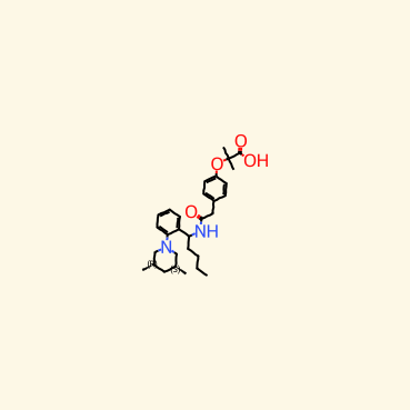 CCCCC(NC(=O)Cc1ccc(OC(C)(C)C(=O)O)cc1)c1ccccc1N1C[C@H](C)C[C@H](C)C1